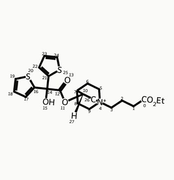 CCOC(=O)CCC[N+]12CCC(CC1)[C@@H](OC(=O)C(O)(c1cccs1)c1cccs1)C2